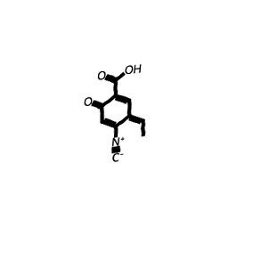 [C-]#[N+]C1=CC(=O)C(C(=O)O)=CC1=CC